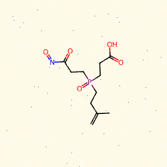 C=C(C)CCP(=O)(CCC(=O)O)CCC(=O)N=O